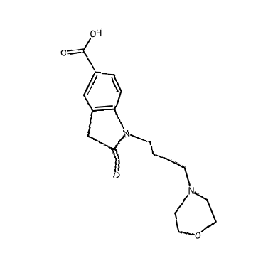 O=C(O)c1ccc2c(c1)CC(=O)N2CCCN1CCOCC1